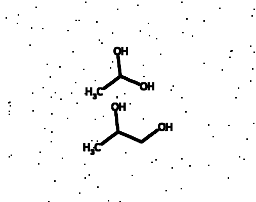 CC(O)CO.CC(O)O